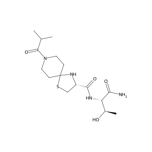 CC(C)C(=O)N1CCC2(CC1)N[C@H](C(=O)N[C@H](C(N)=O)[C@@H](C)O)CS2